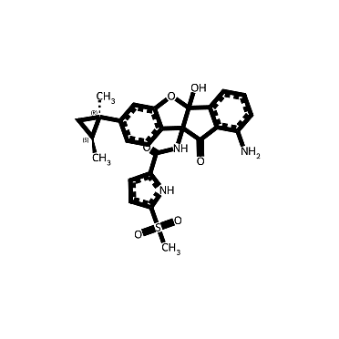 C[C@H]1C[C@@]1(C)c1ccc2c(c1)OC1(O)c3cccc(N)c3C(=O)C21NC(=O)c1ccc(S(C)(=O)=O)[nH]1